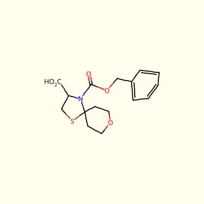 O=C(O)C1CSC2(CCOCC2)N1C(=O)OCc1ccccc1